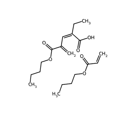 C=C(C=C(CC)C(=O)O)C(=O)OCCCC.C=CC(=O)OCCCC